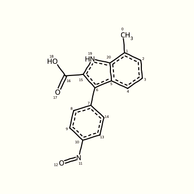 Cc1cccc2c(-c3ccc(N=O)cc3)c(C(=O)O)[nH]c12